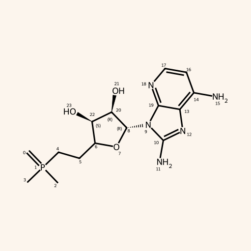 C=P(C)(C)CCC1O[C@@H](n2c(N)nc3c(N)ccnc32)[C@H](O)[C@@H]1O